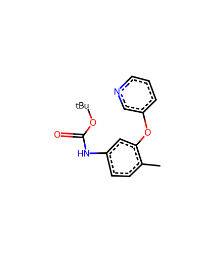 Cc1ccc(NC(=O)OC(C)(C)C)cc1Oc1cccnc1